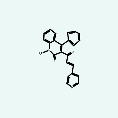 Cn1c(=O)c(C(=O)/C=C/c2ccncc2)c(-c2ccccc2)c2ccccc21